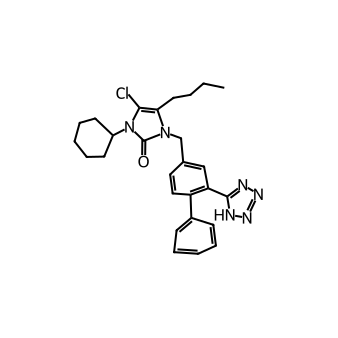 CCCCc1c(Cl)n(C2CCCCC2)c(=O)n1Cc1ccc(-c2ccccc2)c(-c2nnn[nH]2)c1